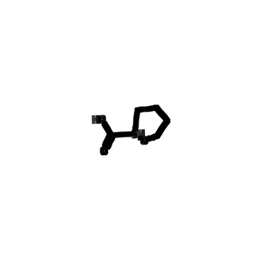 O=C(O)[SiH]1CCCCO1